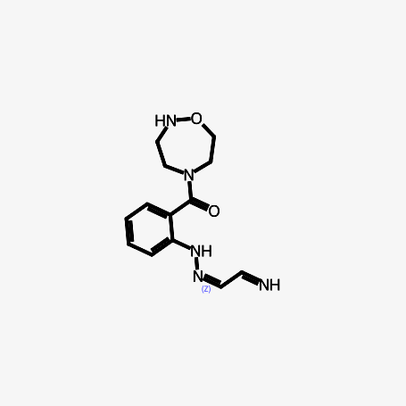 N=C/C=N\Nc1ccccc1C(=O)N1CCNOCC1